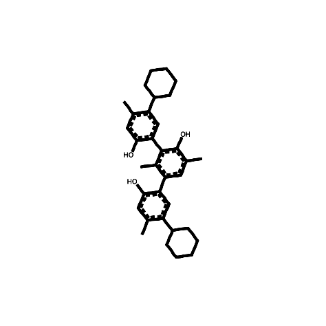 Cc1cc(O)c(-c2cc(C)c(O)c(-c3cc(C4CCCCC4)c(C)cc3O)c2C)cc1C1CCCCC1